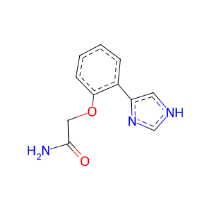 NC(=O)COc1ccccc1-c1c[nH]cn1